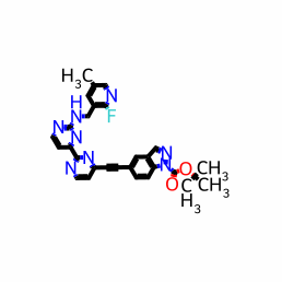 Cc1cnc(F)c(CNc2nccc(-c3nccc(C#Cc4ccc5c(cnn5C(=O)OC(C)(C)C)c4)n3)n2)c1